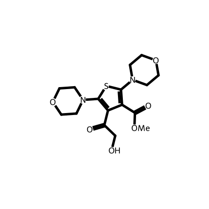 COC(=O)c1c(N2CCOCC2)sc(N2CCOCC2)c1C(=O)CO